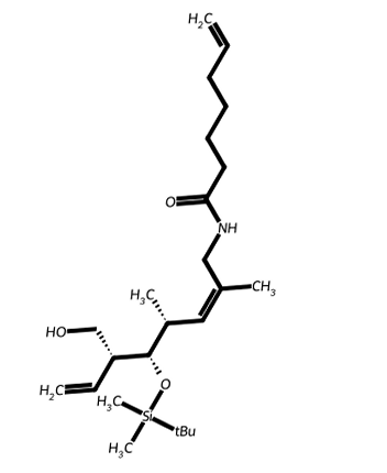 C=CCCCCC(=O)NC/C(C)=C\[C@@H](C)[C@H](O[Si](C)(C)C(C)(C)C)[C@H](C=C)CO